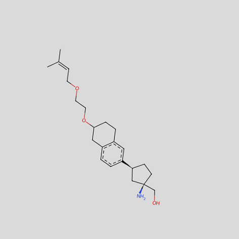 CC(C)=CCOCCOC1CCc2cc([C@H]3CC[C@](N)(CO)C3)ccc2C1